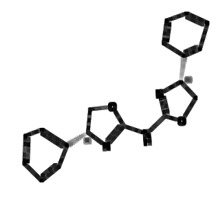 c1ccc([C@@H]2COC(NC3=N[C@H](c4ccccc4)CO3)=N2)cc1